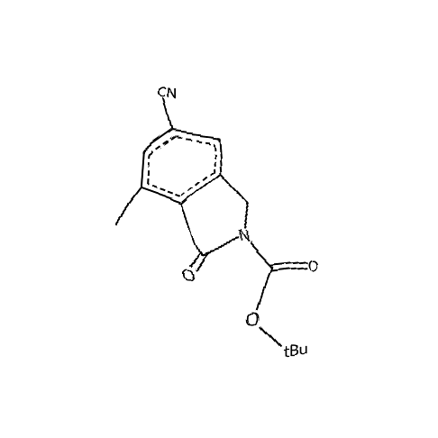 Cc1cc(C#N)cc2c1C(=O)N(C(=O)OC(C)(C)C)C2